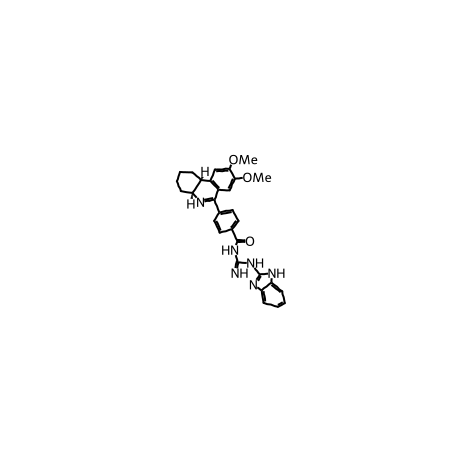 COc1cc2c(cc1OC)[C@H]1CCCC[C@H]1N=C2c1ccc(C(=O)NC(=N)Nc2nc3ccccc3[nH]2)cc1